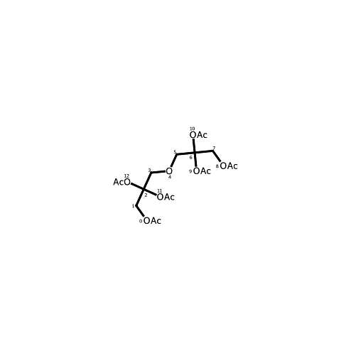 CC(=O)OCC(COCC(COC(C)=O)(OC(C)=O)OC(C)=O)(OC(C)=O)OC(C)=O